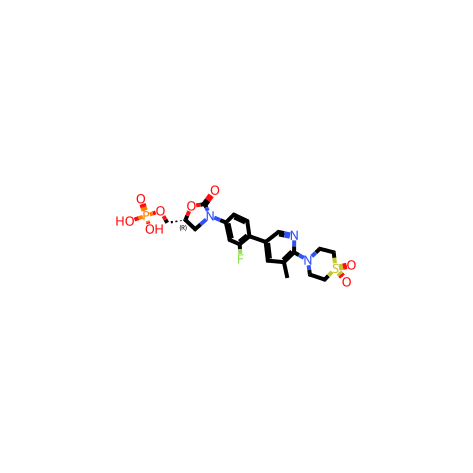 Cc1cc(-c2ccc(N3C[C@H](COP(=O)(O)O)OC3=O)cc2F)cnc1N1CCS(=O)(=O)CC1